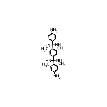 CNC(NC)(c1ccc(N)cc1)c1ccc(C(NC)(NC)c2ccc(N)cc2)cc1